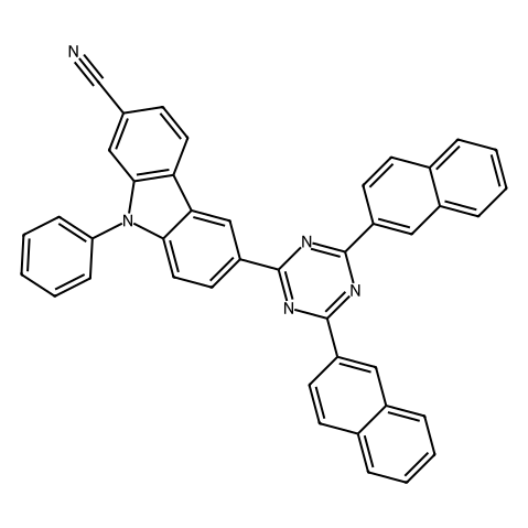 N#Cc1ccc2c3cc(-c4nc(-c5ccc6ccccc6c5)nc(-c5ccc6ccccc6c5)n4)ccc3n(-c3ccccc3)c2c1